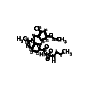 CCCNS(=O)(=O)NC(=O)c1ccc2nc(C)n(Cc3ccc(OCC)cc3Cl)c2n1